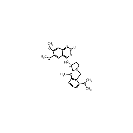 COc1cc2nc(Cl)nc(N[C@@H]3CCN(Cc4c(OC)cccc4N(C)C)C3)c2cc1OC